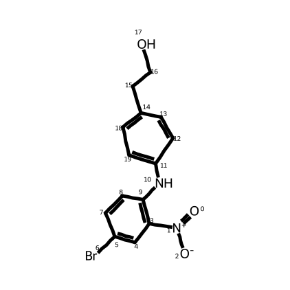 O=[N+]([O-])c1cc(Br)ccc1Nc1ccc(CCO)cc1